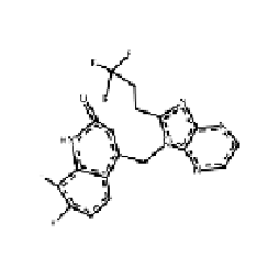 O=c1cc(Cn2c(CCC(F)(F)F)nc3nccnc32)c2ccc(F)c(F)c2[nH]1